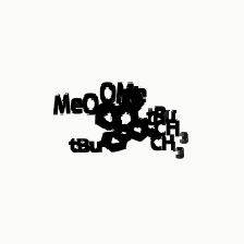 COc1cccc(C2=C(c3c(C(C)(C)C)c(=C(C)C)cc4c3=[C]c3cc(C(C)(C)C)ccc3-4)CC=C2)c1OC